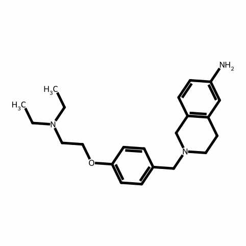 CCN(CC)CCOc1ccc(CN2CCc3cc(N)ccc3C2)cc1